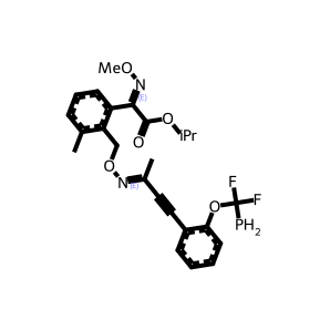 CO/N=C(/C(=O)OC(C)C)c1cccc(C)c1CO/N=C(\C)C#Cc1ccccc1OC(F)(F)P